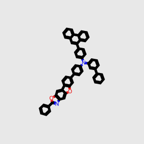 c1ccc(-c2cccc(N(c3ccc(-c4ccc5c(c4)oc4cc6nc(-c7ccccc7)oc6cc45)cc3)c3ccc(-c4cc5ccccc5c5ccccc45)cc3)c2)cc1